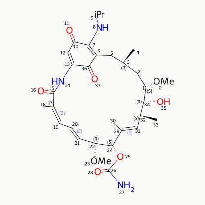 CO[C@H]1C[C@H](C)CC2=C(NC(C)C)C(=O)C=C(NC(=O)/C(C)=C\C=C\[C@@H](OC)[C@@H](OC(N)=O)/C(C)=C/[C@H](C)[C@H]1O)C2=O